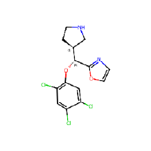 Clc1cc(Cl)c(O[C@@H](c2ncco2)[C@H]2CCNC2)cc1Cl